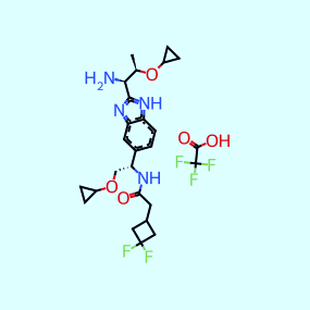 C[C@@H](OC1CC1)[C@H](N)c1nc2cc([C@@H](COC3CC3)NC(=O)CC3CC(F)(F)C3)ccc2[nH]1.O=C(O)C(F)(F)F